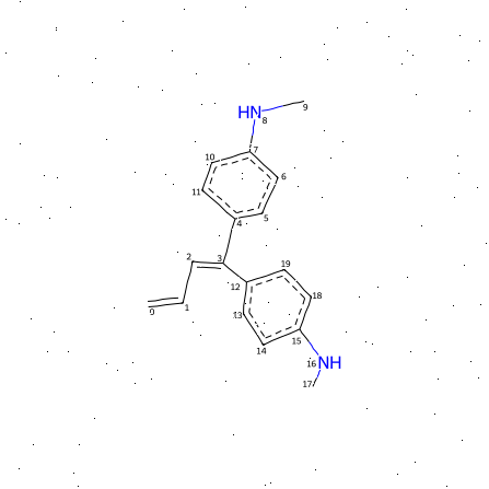 C=CC=C(c1ccc(NC)cc1)c1ccc(NC)cc1